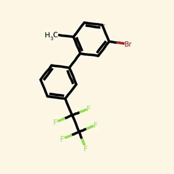 Cc1c[c]c(Br)cc1-c1cccc(C(F)(F)C(F)(F)F)c1